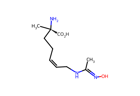 C/C(=N\O)NC/C=C\CC[C@](C)(N)C(=O)O